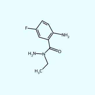 CCN(N)C(=O)c1cc(F)ccc1N